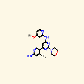 CC(C)Oc1ccnc(Nc2cc(-c3cnc(N)cc3C(F)(F)F)nc(N3CCOCC3)n2)c1